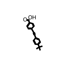 CC(C)(C)c1ccc(C#Cc2ccc(C(=O)O)cc2)cc1